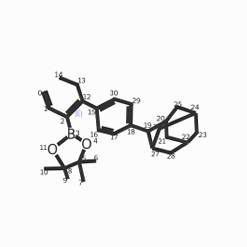 C=C/C(B1OC(C)(C)C(C)(C)O1)=C(\CC)c1ccc(C2C3CC4CC(C3)CC2C4)cc1